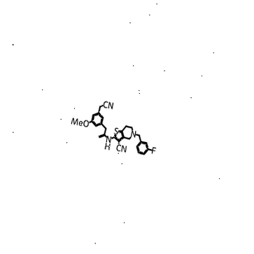 C=C(Cc1cc(CC#N)cc(OC)c1)Nc1sc2c(c1C#N)CN(Cc1cccc(F)c1)CC2